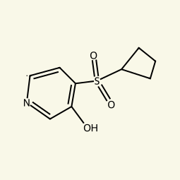 O=S(=O)(c1c[c]ncc1O)C1CCC1